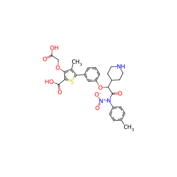 Cc1ccc(N(C(=O)C(Oc2cccc(-c3sc(C(=O)O)c(OCC(=O)O)c3C)c2)C2CCNCC2)[N+](=O)[O-])cc1